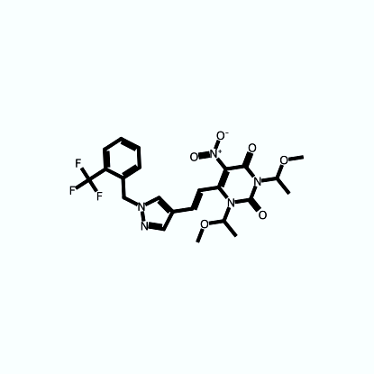 COC(C)n1c(/C=C/c2cnn(Cc3ccccc3C(F)(F)F)c2)c([N+](=O)[O-])c(=O)n(C(C)OC)c1=O